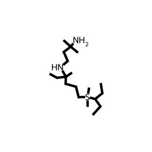 CCC(CC)S(C)(C)CCCC(C)(CC)NCCC(C)(C)N